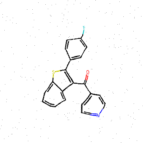 O=C(c1ccncc1)c1c(-c2ccc(F)cc2)sc2c[c]ccc12